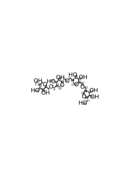 OC[C@@H]1CO[C@@H](COC[C@@H]2CO[C@@H](COC[C@@H]3CO[C@@H](COC[C@@H]4CO[C@@H](CO)C(O)C4O)C(O)C3O)C(O)C2O)C(O)C1O